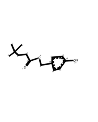 CC(C)(C)CCC(=O)OCc1ccc(O)cc1